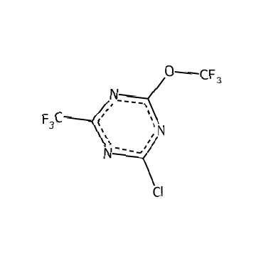 FC(F)(F)Oc1nc(Cl)nc(C(F)(F)F)n1